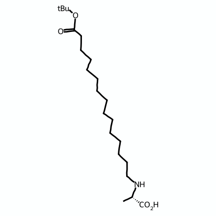 C[C@H](NCCCCCCCCCCCCCCC(=O)OC(C)(C)C)C(=O)O